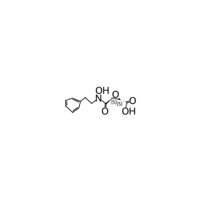 O=C(O)[C@H]1O[C@@H]1C(=O)N(O)CCc1ccccc1